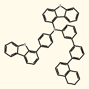 C1=Cc2c(cccc2-c2cccc(-c3cccc(N(c4ccc(-c5cccc6c5sc5ccccc56)cc4)c4cccc5sc6ccccc6c45)c3)c2)CC1